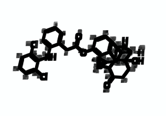 O=C(Cc1ccccc1Nc1c(Cl)cccc1Cl)Oc1ccc2c3c1OC1C(=O)CC[C@@]4(O)[C@H](NCC[C@]314)C2CC1CC1